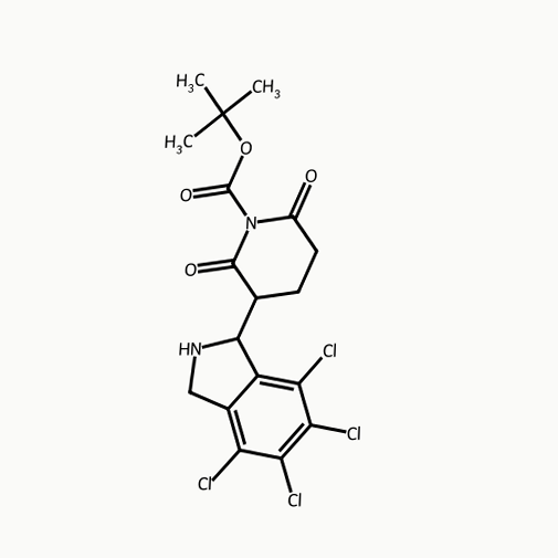 CC(C)(C)OC(=O)N1C(=O)CCC(C2NCc3c(Cl)c(Cl)c(Cl)c(Cl)c32)C1=O